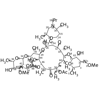 CON=C1C[C@@H](C)O[C@@H](O[C@@H]2[C@@H](C)[C@H](O[C@H]3CC(C)N(C(C)C)C[C@H](C)O3)[C@@H](C)C(=O)O[C@H]([C@@H](C)CO[C@@H]3O[C@H](C)[C@@H](O)[C@@H](OC)[C@H]3OC)[C@H](C)[C@@H](OC(=O)CC(C)C)[C@@H](C)C(=O)[C@@](C)(OC(C)=O)C[C@@H]2C)[C@@H]1O